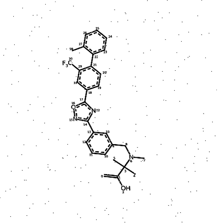 C=C(O)C(C)(C)N(C)Cc1cccc(-c2noc(-c3ccc(-c4ccccc4C)c(C(F)(F)F)c3)n2)c1